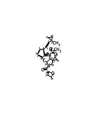 CC1(C#Cc2cccc(CC3C(NS(C)(=O)=O)C4(CC4)CN3C(=O)[C@H]3CCO3)c2F)CC1